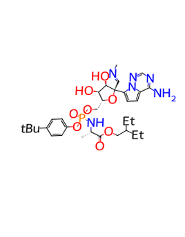 CCC(CC)COC(=O)[C@H](C)NP(=O)(OC[C@H]1O[C@@](C=NC)(c2ccc3c(N)ncnn23)[C@H](O)[C@@H]1O)Oc1ccc(C(C)(C)C)cc1